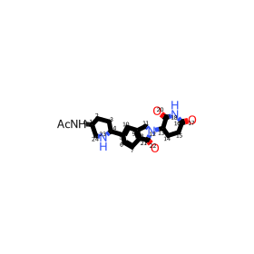 CC(=O)NC1CCC(c2ccc3c(c2)CN(C2CCC(=O)NC2=O)C3=O)NC1